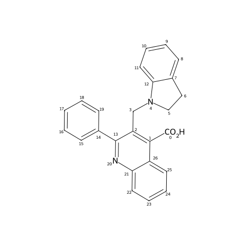 O=C(O)c1c(CN2CCc3ccccc32)c(-c2ccccc2)nc2ccccc12